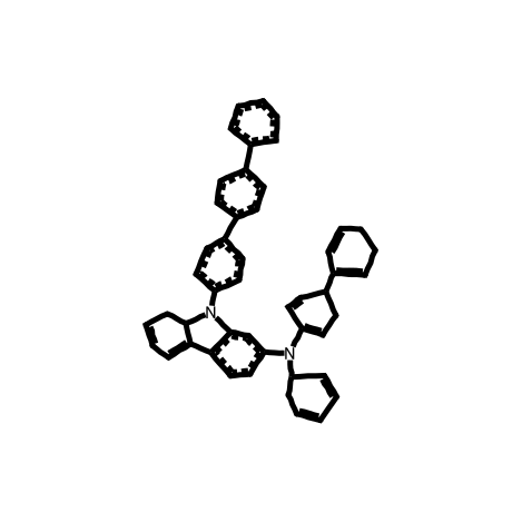 C1=CCC(N(C2=CCC(C3=CCCC=C3)C=C2)c2ccc3c(c2)N(c2ccc(-c4ccc(-c5ccccc5)cc4)cc2)C2CC=CC=C32)C=C1